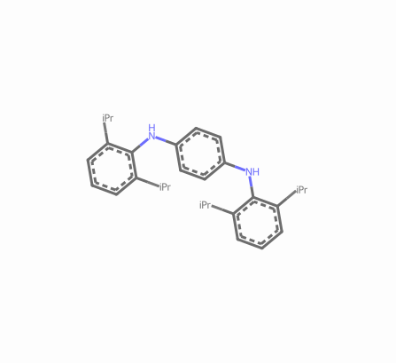 CC(C)c1cccc(C(C)C)c1Nc1ccc(Nc2c(C(C)C)cccc2C(C)C)cc1